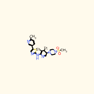 CCc1c(N2CCN(S(C)(=O)=O)CC2)cnc(Nc2ncc(-c3ccc(C)nc3)s2)c1CC